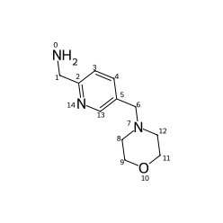 NCc1ccc(CN2CCOCC2)cn1